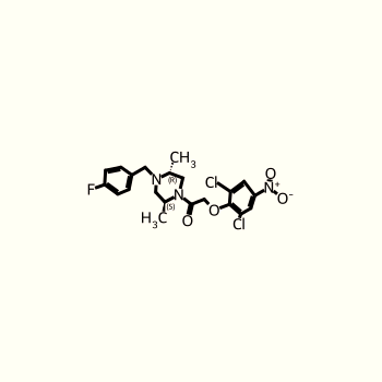 C[C@@H]1CN(C(=O)COc2c(Cl)cc([N+](=O)[O-])cc2Cl)[C@@H](C)CN1Cc1ccc(F)cc1